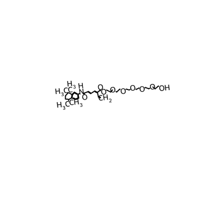 C=C/C(=C\C=C\C(=O)Nc1ccc2c(c1)C(C)(C)CCC2(C)C)C(=O)OCCOCCOCCOCCOCCOCCO